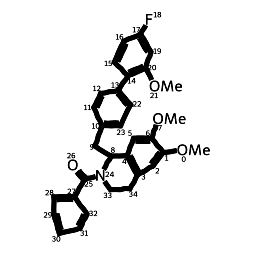 COc1cc2c(cc1OC)C(Cc1ccc(-c3ccc(F)cc3OC)cc1)N(C(=O)c1ccccc1)CC2